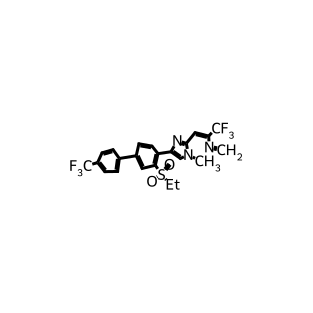 C=N/C(=C\c1nc(-c2ccc(-c3ccc(C(F)(F)F)cc3)cc2S(=O)(=O)CC)cn1C)C(F)(F)F